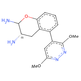 COc1cc(-c2cccc3c2C[C@H](N)C(N)O3)c(OC)nn1